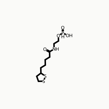 O=C(CCCCC1CCSS1)NCCO[PH](=O)O